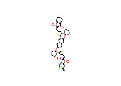 C\C=C/C=C1/C(=O)/C(=C/c2cc3c(s2)C2=CC4C=C5OC6(CCCCC6)C6C=C(C=C7C(=O)C8=CCC(C)CC=C8C7=O)SC6C5=CC4C=C2OC32CCCCC2)C(=O)/C1=C/C(F)(F)F